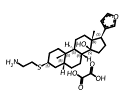 C[C@]12CC[C@H](SCCN)C[C@H]1CC[C@@H]1[C@@H]2CC[C@]2(C)[C@@H](c3ccoc3)CC[C@]12O.O=C(O)C(=O)O